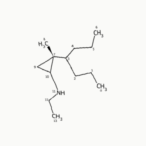 CCCC(CCC)[C@@]1(C)CC1NCC